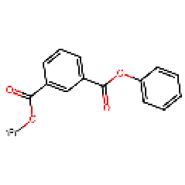 CCCOC(=O)c1cccc(C(=O)Oc2ccccc2)c1